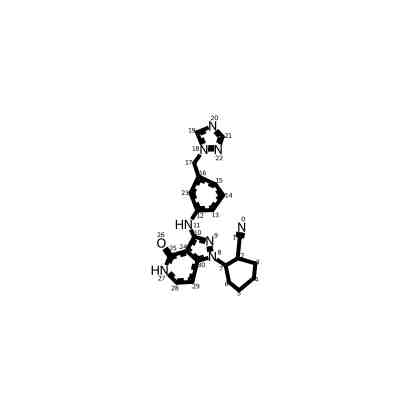 N#CC1CCCCC1n1nc(Nc2cccc(Cn3cncn3)c2)c2c(=O)[nH]ccc21